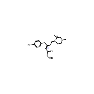 C[C@H]1CN(C)CCN1CC/C(Cc1ccc(C#N)cc1)=N\C(=O)OC(C)(C)C